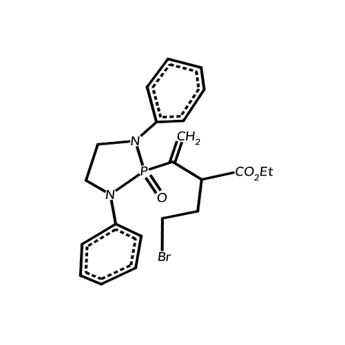 C=C(C(CCBr)C(=O)OCC)P1(=O)N(c2ccccc2)CCN1c1ccccc1